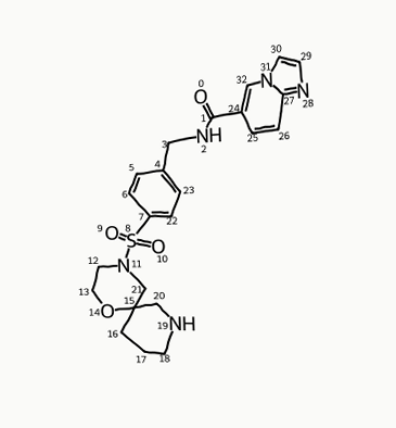 O=C(NCc1ccc(S(=O)(=O)N2CCOC3(CCCNC3)C2)cc1)c1ccc2nccn2c1